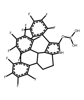 OB(O)Oc1[nH]c2c(c1-c1c(F)c(F)c(F)c(F)c1F)C(c1c(F)c(F)c(F)c(F)c1F)C(c1c(F)c(F)c(F)c(F)c1F)CC2